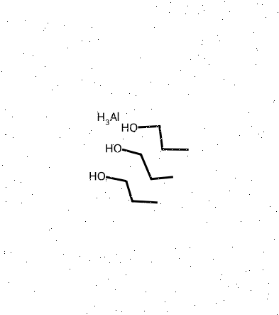 CCCO.CCCO.CCCO.[AlH3]